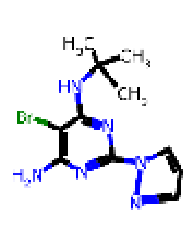 CC(C)(C)Nc1nc(-n2cccn2)nc(N)c1Br